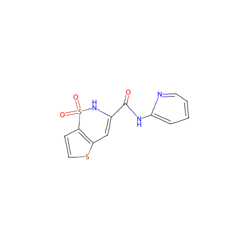 O=C(Nc1ccccn1)C1=Cc2sccc2S(=O)(=O)N1